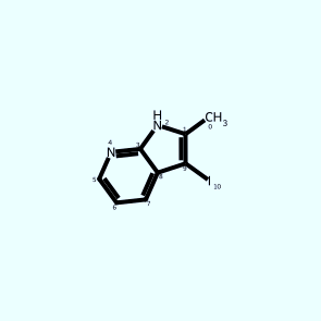 Cc1[nH]c2ncccc2c1I